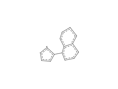 [c]1ccc(-c2cccc3ccccc23)s1